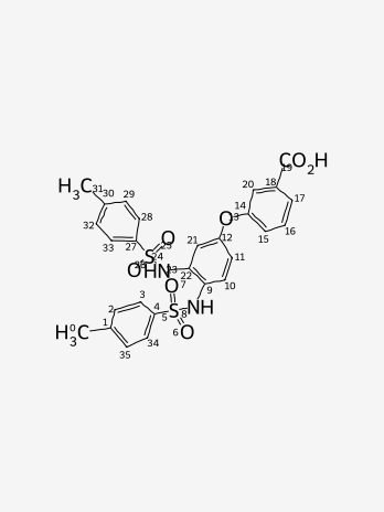 Cc1ccc(S(=O)(=O)Nc2ccc(Oc3cccc(C(=O)O)c3)cc2NS(=O)(=O)c2ccc(C)cc2)cc1